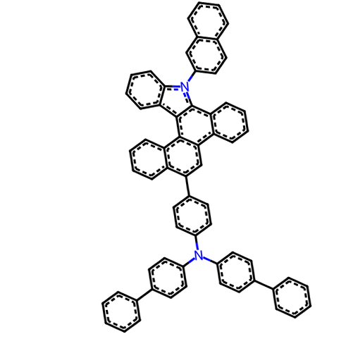 c1ccc(-c2ccc(N(c3ccc(-c4ccccc4)cc3)c3ccc(-c4cc5c6ccccc6c6c(c7ccccc7n6-c6ccc7ccccc7c6)c5c5ccccc45)cc3)cc2)cc1